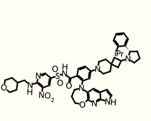 CC(C)c1ccccc1[C@@H]1CCCN1C1CC2(CCN(c3ccc(C(=O)NS(=O)(=O)c4cnc(NCC5CCOCC5)c([N+](=O)[O-])c4)c(N4CCCOc5nc6[nH]ccc6cc54)c3)CC2)C1